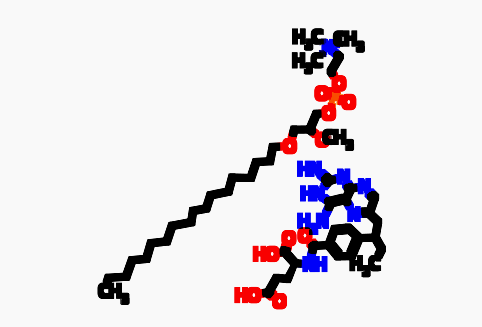 CCC(Cc1cnc2nc(=N)[nH]c(N)c2n1)c1ccc(C(=O)N[C@@H](CCC(=O)O)C(=O)O)cc1.CCCCCCCCCCCCCCCCCCOCC(COP(=O)([O-])OCC[N+](C)(C)C)OC